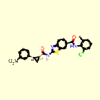 Cc1cccc(Cl)c1NC(=O)c1ccc2nc(NC(=O)[C@@H]3C[C@H]3c3cccc([N+](=O)[O-])c3)sc2c1